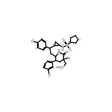 CCC1(CC(=O)O)CC(c2cccc(Cl)c2)C(CC(c2ccc(Cl)cc2)C2CC2NS(=O)(=O)C2CCCC2)NC1=O